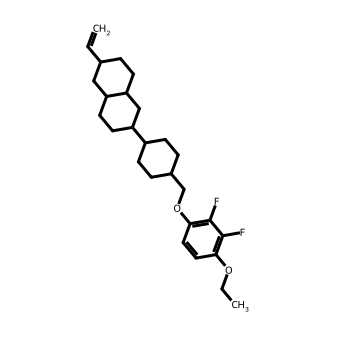 C=CC1CCC2CC(C3CCC(COc4ccc(OCC)c(F)c4F)CC3)CCC2C1